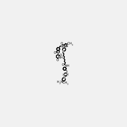 Cc1cc(C(=O)NCc2ccc3c(c2)CN(C2CCC(=O)NC2=O)C3=O)n(C2CCN(CCCCCCCCC(=O)Nc3cccc(Sc4cnc(N5CCC(C)(N)CC5)cn4)c3)CC2)n1